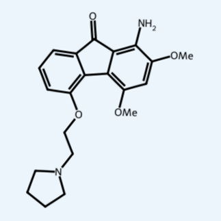 COc1cc(OC)c2c(c1N)C(=O)c1cccc(OCCN3CCCC3)c1-2